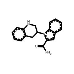 NC(=O)c1cc2ccccc2n1C1CNc2ccccc2C1